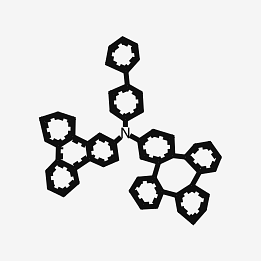 c1ccc(-c2ccc(N(c3ccc4c(c3)-c3ccccc3-c3ccccc3-c3ccccc3-4)c3ccc4c5ccccc5c5ccccc5c4c3)cc2)cc1